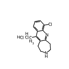 Cc1c2c(nc3c(Cl)cccc13)CCNCC2.Cl.Cl